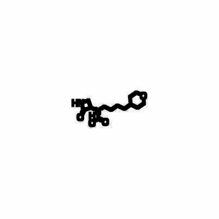 O=C1NCC1N(CCCCC1CCOCC1)C(=O)O